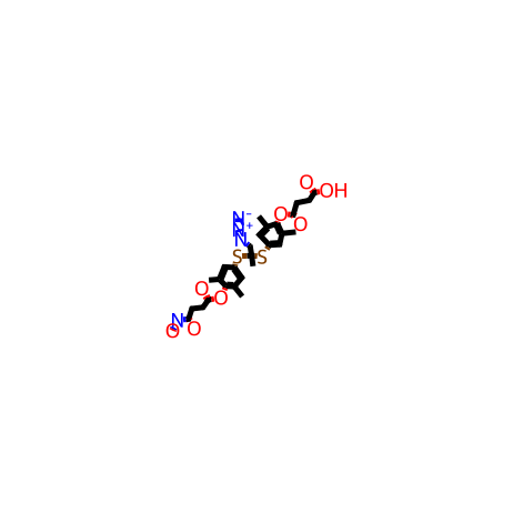 Cc1cc(SC(C)(CN=[N+]=[N-])Sc2cc(C)c(OC(=O)CCC(=O)N=O)c(C)c2)cc(C)c1OC(=O)CCC(=O)O